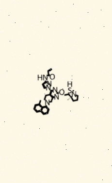 C=CC(=O)Nc1ccn(-c2nc(OCC(S)[C@]3(C)CCCN3C)nc3c2CCN(c2cccc4cccc(C)c24)C3)n1